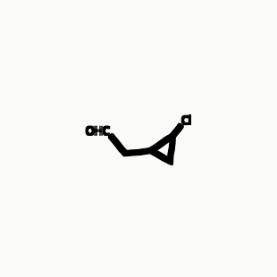 O=CCC1CC1Cl